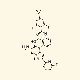 Nc1nc(-c2cccc(-n3ccc4cc(C5CC5)cc(F)c4c3=O)c2CO)c2cc(-c3cccc(F)n3)[nH]c2n1